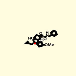 COc1ccc2c3c1OC1C4(CCC5(O)C(C2)N(CC2CC2)CCC315)O[C@H]4C(=O)NCc1ccccc1